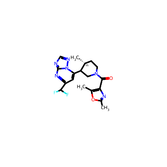 Cc1nc(C(=O)N2CC[C@@H](C)C(c3cc(C(F)F)nc4ncnn34)C2)c(C)o1